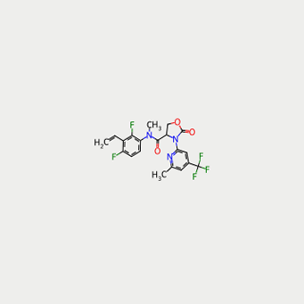 C=Cc1c(F)ccc(N(C)C(=O)C2COC(=O)N2c2cc(C(F)(F)F)cc(C)n2)c1F